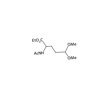 CCOC(=O)C(CCC(OC)OC)NC(C)=O